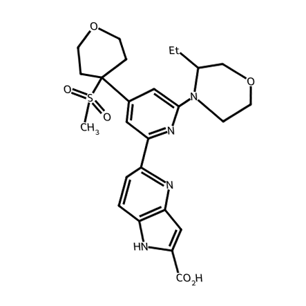 CCC1COCCN1c1cc(C2(S(C)(=O)=O)CCOCC2)cc(-c2ccc3[nH]c(C(=O)O)cc3n2)n1